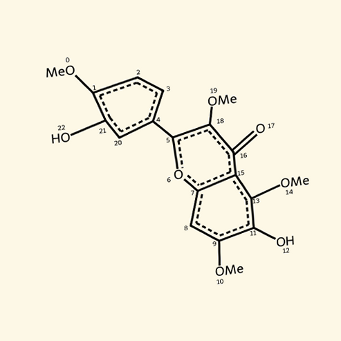 COc1ccc(-c2oc3cc(OC)c(O)c(OC)c3c(=O)c2OC)cc1O